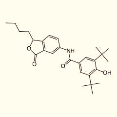 CCCCC1OC(=O)c2cc(NC(=O)c3cc(C(C)(C)C)c(O)c(C(C)(C)C)c3)ccc21